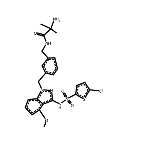 COc1cccc2c1c(NS(=O)(=O)c1ccc(Cl)s1)nn2Cc1cccc(CNC(=O)C(C)(C)N)c1